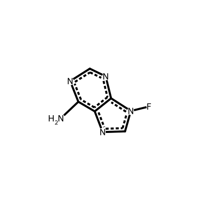 Nc1ncnc2c1ncn2F